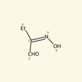 CCC(C=O)=NO